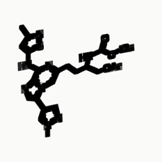 CC(=O)OCC(CCc1cn2c(-c3cnn(C)c3)cnc2c(Nc2cc(C)ns2)n1)NC(=O)OC(C)(C)C